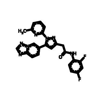 Cc1cccc(-n2nc(CC(=O)Nc3ccc(F)cc3F)cc2-c2ccc3ncnn3c2)n1